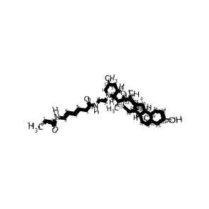 CCC(=O)NCCCCCC(=O)NCCN1C[C@@H](C)C[C@H]2O[C@]3(CC[C@@H]4C(=C3C)C[C@H]3[C@H]4CC=C4C[C@@H](O)CC[C@@]43C)[C@H](C)[C@@H]21